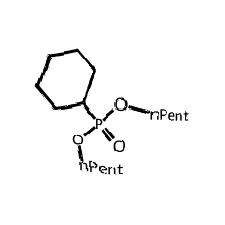 CCCCCOP(=O)(OCCCCC)C1CCCCC1